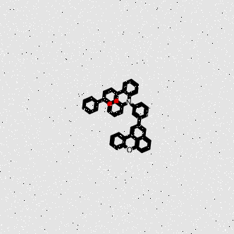 c1ccc(-c2ccc(-c3ccccc3N(c3ccccc3)c3cccc(-c4cc5c6c(cccc6c4)Oc4ccccc4-5)c3)cc2)cc1